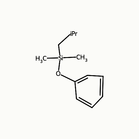 CC(C)C[Si](C)(C)Oc1ccccc1